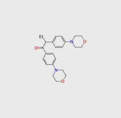 CCC(C(=O)c1ccc(N2CCOCC2)cc1)c1ccc(N2CCOCC2)cc1